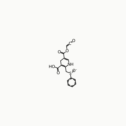 O=C=COC(=O)C1=CNC(C[S+]([O-])c2ccccc2)=C(C(=O)O)C1